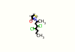 CCCC(Cl)C(Cl)CC(C)n1sccc1=O